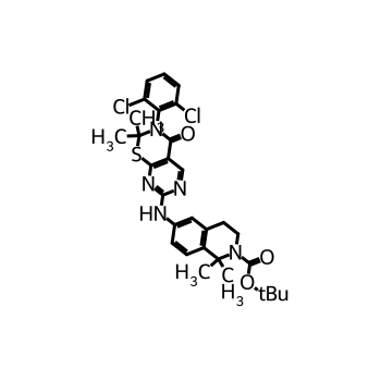 CC(C)(C)OC(=O)N1CCc2cc(Nc3ncc4c(n3)SC(C)(C)N(c3c(Cl)cccc3Cl)C4=O)ccc2C1(C)C